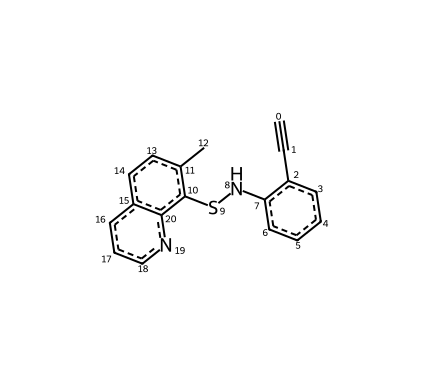 C#Cc1ccccc1NSc1c(C)ccc2cccnc12